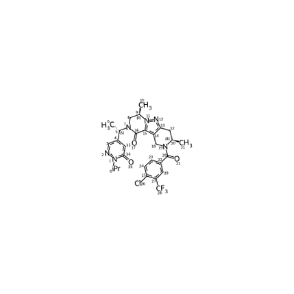 CC(C)n1ncc([C@H](C)N2C[C@@H](C)n3nc4c(c3C2=O)CN(C(=O)c2ccc(Cl)c(C(F)(F)F)c2)[C@H](C)C4)cc1=O